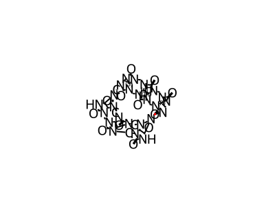 O=C1NC2C3N1CN1C(=O)N4CN5C(=O)NC6C5N5CN7C(=O)N(CN3C(=O)N2CN2C(=O)N3CN8C(=O)N9CN%10C(=O)N(CN6C5=O)C5N6C(=O)N(CN%11C(=O)N(CN%12C(=O)N%13C2[C@]3%12%13)[C@H]8[C@H]9%11)[C@@]5%106)C1C47